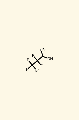 CCCC(O)C(F)(F)C(F)(F)Br